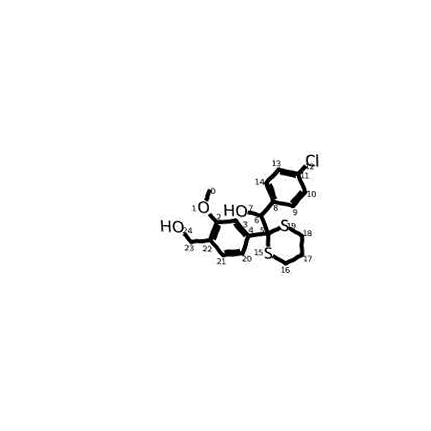 COc1cc(C2(C(O)c3ccc(Cl)cc3)SCCCS2)ccc1CO